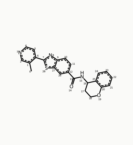 Cc1cnccc1-c1nc2ccc(C(=O)NC3CCOc4ccccc43)cc2s1